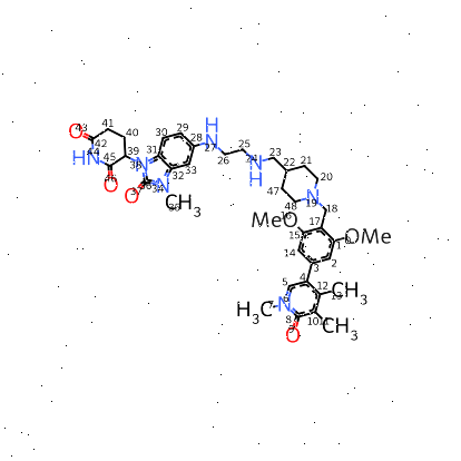 COc1cc(-c2cn(C)c(=O)c(C)c2C)cc(OC)c1CN1CCC(CNCCNc2ccc3c(c2)n(C)c(=O)n3C2CCC(=O)NC2=O)CC1